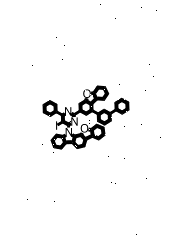 Ic1c(-c2ccccc2)nc(-c2cc(-c3cccc(-c4ccccc4)c3)c3c(c2)oc2ccccc23)nc1-n1c2ccccc2c2ccc3c4ccccc4oc3c21